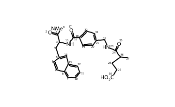 CNC(=O)C(Cc1ccc2ccccc2c1)NC(=O)c1ccc(CNC(=O)C(C)CCC(=O)O)cc1